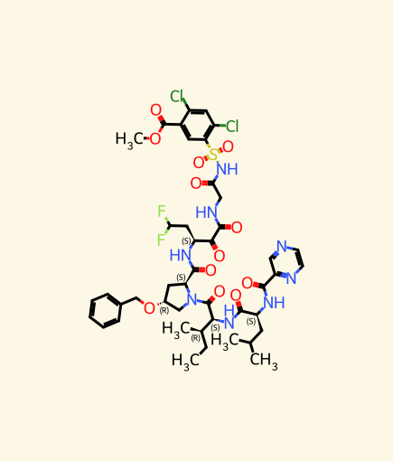 CC[C@@H](C)[C@H](NC(=O)[C@H](CC(C)C)NC(=O)c1cnccn1)C(=O)N1C[C@H](OCc2ccccc2)C[C@H]1C(=O)N[C@@H](CC(F)F)C(=O)C(=O)NCC(=O)NS(=O)(=O)c1cc(C(=O)OC)c(Cl)cc1Cl